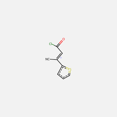 N#C/C(=C\C(=O)Cl)c1cccs1